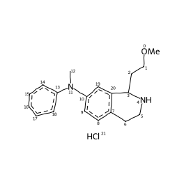 COCCC1NCCc2ccc(N(C)c3ccccc3)cc21.Cl